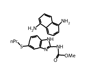 CCCSc1ccc2[nH]c(NC(=O)OC)nc2c1.Nc1cccc2c(N)cccc12